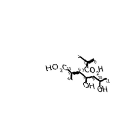 C=C(C)C(=O)O.CC(=CC(O)CC(C)O)C(=O)O